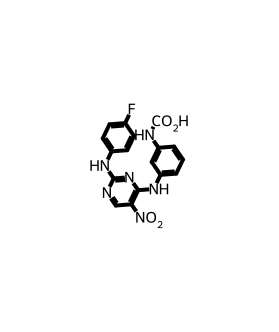 O=C(O)Nc1cccc(Nc2nc(Nc3ccc(F)cc3)ncc2[N+](=O)[O-])c1